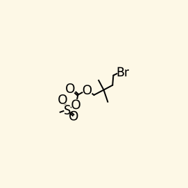 CC(C)(CCBr)COC(=O)OS(C)(=O)=O